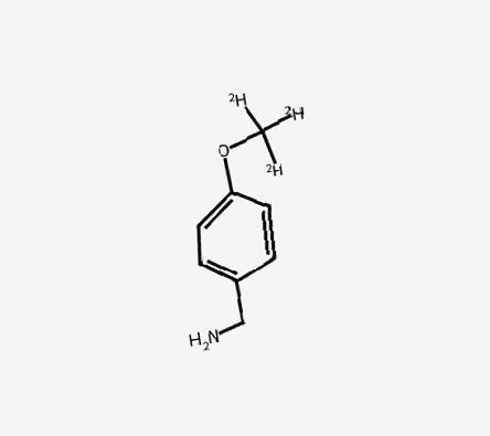 [2H]C([2H])([2H])Oc1ccc(CN)cc1